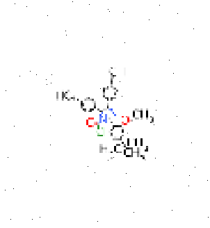 C#Cc1ccc(C2N=C(c3ccc(C(C)(C)C)cc3OCC)N(C(=O)Cl)C2c2ccc(C#C)cc2)cc1